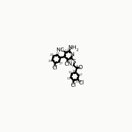 N#Cc1c(N)nc(SCC(=O)c2ccc(Cl)c(Cl)c2)c(C#N)c1-c1cccc(Cl)c1